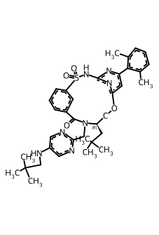 Cc1cccc(C)c1-c1cc2nc(n1)NS(=O)(=O)c1cccc(c1)C(=O)N(Cc1ncc(NCC(C)(C)C)cn1)[C@H](CC(C)(C)C)CO2